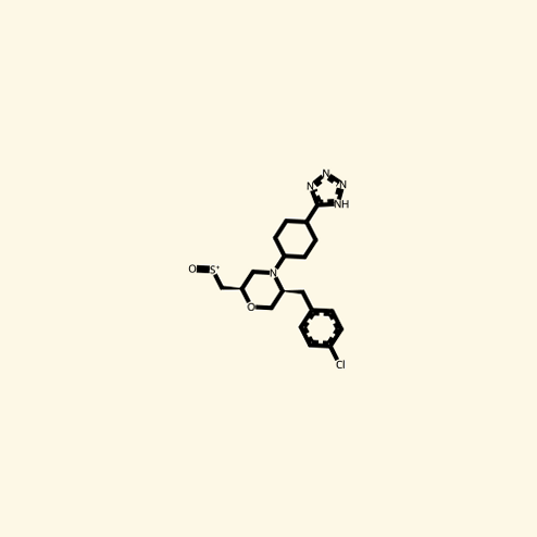 O=[S+]C[C@H]1CN(C2CCC(c3nnn[nH]3)CC2)[C@@H](Cc2ccc(Cl)cc2)CO1